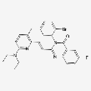 CCN(CC)c1ccc(C)c(C=Cc2nc3ccc(F)cc3c(=O)n2-c2ccccc2Br)n1